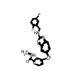 CNC(=O)c1cc(Oc2ccc3nc(NCc4cc(F)ccc4F)sc3c2)ccn1